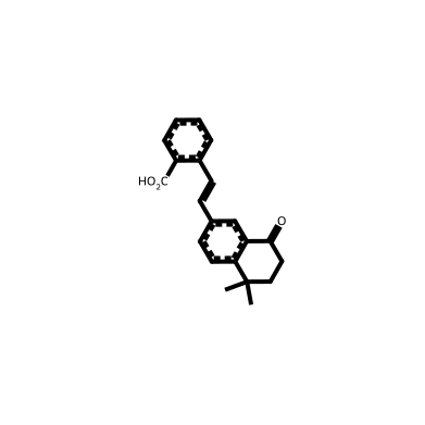 CC1(C)CCC(=O)c2cc(C=Cc3ccccc3C(=O)O)ccc21